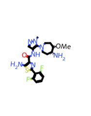 CO[C@@H]1CCN(c2c(NC(=O)c3nc(-c4c(F)cccc4F)sc3N)cnn2C)CC[C@H]1N